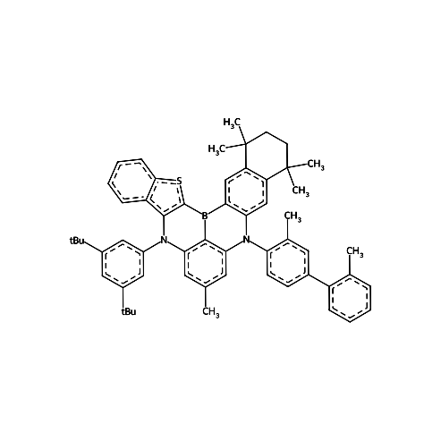 Cc1cc2c3c(c1)N(c1cc(C(C)(C)C)cc(C(C)(C)C)c1)c1c(sc4ccccc14)B3c1cc3c(cc1N2c1ccc(-c2ccccc2C)cc1C)C(C)(C)CCC3(C)C